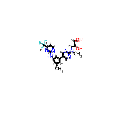 Cc1cc(Nc2nccc(C(F)(F)F)n2)cc(-c2cnc(N(C)CC(O)CO)nc2)c1